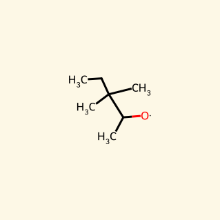 CCC(C)(C)C(C)[O]